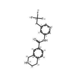 O=C(Nc1cncc(CC(F)(F)F)c1)c1ccc2c(c1)CNCC2